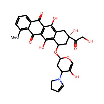 COc1cccc2c1C(=O)c1c(O)c3c(c(O)c1C2=O)C[C@@](O)(C(=O)CO)CC3OC1CC(N2C=CCC2)C(O)=CO1